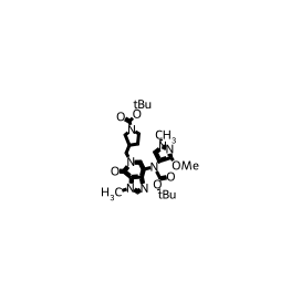 COc1nn(C)cc1N(C(=O)OC(C)(C)C)c1cn(CC2CCN(C(=O)OC(C)(C)C)C2)c(=O)c2c1ncn2C